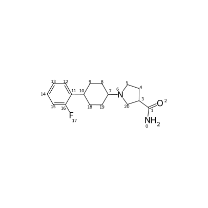 NC(=O)C1CCN(C2CCC(c3ccccc3F)CC2)C1